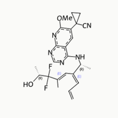 C=C/C=C(\C=C(/C)C(F)(F)[C@@H](C)O)[C@@H](C)Nc1ncnc2nc(OC)c(C3(C#N)CC3)cc12